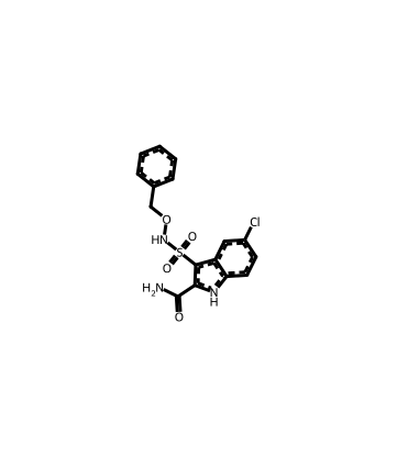 NC(=O)c1[nH]c2ccc(Cl)cc2c1S(=O)(=O)NOCc1ccccc1